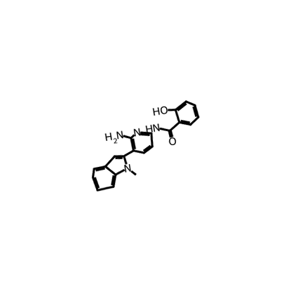 Cn1c(-c2ccc(NC(=O)c3ccccc3O)nc2N)cc2ccccc21